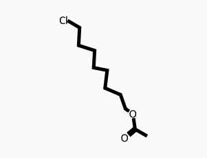 CC(=O)OCCCCCCCCCl